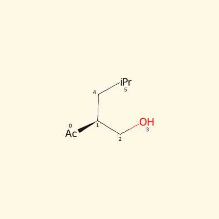 CC(=O)[C@H](CO)CC(C)C